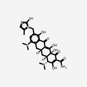 Cc1cnc(S)n1Cc1cc(N(C)C)c2c(c1O)C(=O)C1=C(O)[C@]3(O)C(=O)C(C(N)=O)=C(O)[C@H](N(C)C)[C@@H]3C[C@@H]1C2